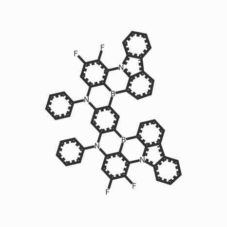 Fc1cc2c3c(c1F)-n1c4ccccc4c4cccc(c41)B3c1cc3c(cc1N2c1ccccc1)N(c1ccccc1)c1cc(F)c(F)c2c1B3c1cccc3c4ccccc4n-2c13